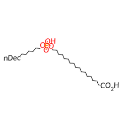 CCCCCCCCCCCCCCCCOP(=O)(O)OCCCCCCCCCCCCCCCCCC(=O)O